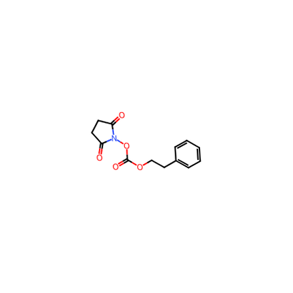 O=C(OCCc1ccccc1)ON1C(=O)CCC1=O